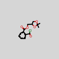 CC1(C)OCC(COC(=O)c2ccccc2C(=O)Cl)O1